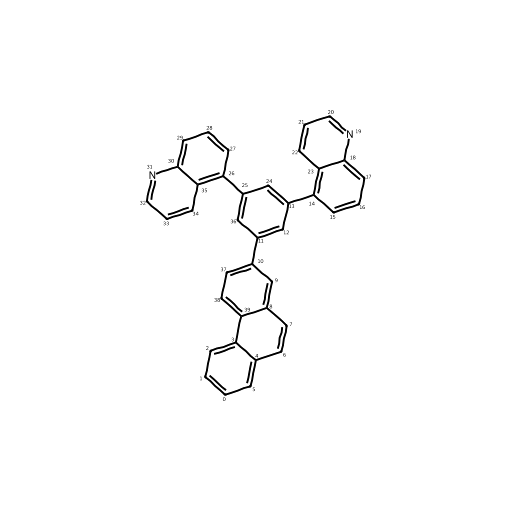 c1ccc2c(c1)ccc1cc(-c3cc(-c4cccc5ncccc45)cc(-c4cccc5ncccc45)c3)ccc12